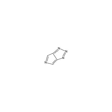 [C]1=C2N=NN=C2C=N1